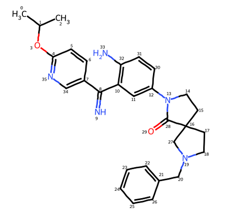 CC(C)Oc1ccc(C(=N)c2cc(N3CCC4(CCN(Cc5ccccc5)C4)C3=O)ccc2N)cn1